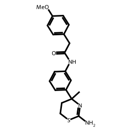 COc1ccc(CC(=O)Nc2cccc(C3(C)CCSC(N)=N3)c2)cc1